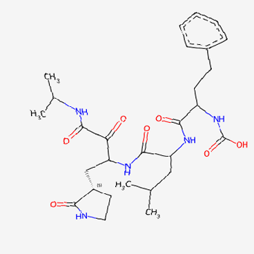 CC(C)CC(NC(=O)C(CCc1ccccc1)NC(=O)O)C(=O)NC(C[C@@H]1CCNC1=O)C(=O)C(=O)NC(C)C